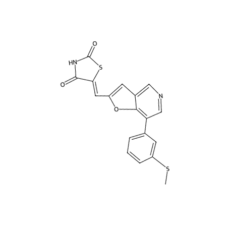 CSc1cccc(-c2cncc3cc(/C=C4\SC(=O)NC4=O)oc23)c1